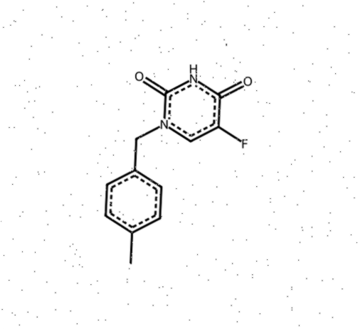 Cc1ccc(Cn2cc(F)c(=O)[nH]c2=O)cc1